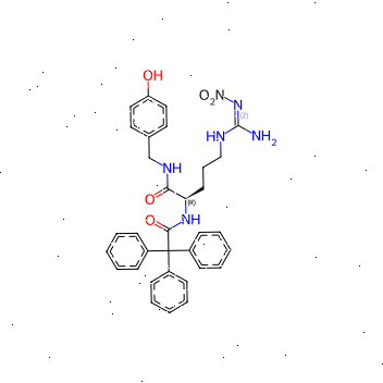 N/C(=N/[N+](=O)[O-])NCCC[C@@H](NC(=O)C(c1ccccc1)(c1ccccc1)c1ccccc1)C(=O)NCc1ccc(O)cc1